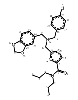 CCCN(CCC)C(=O)c1csc(CN(Cc2ccc(Cl)cc2)Cc2ccc3c(c2)OCO3)n1